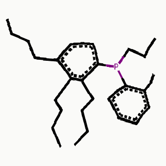 CCCCc1ccc(P(CCC)c2ccccc2C)c(CCCC)c1CCCC